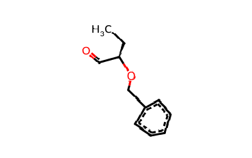 CC[C@H](C=O)OCc1ccccc1